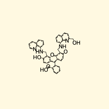 O=C(O)c1ccccc1-c1c2ccc(=O)c(CNc3cccc4ccc(CO)nc34)c-2oc2c(CNc3cccc4cccnc34)c(O)ccc12